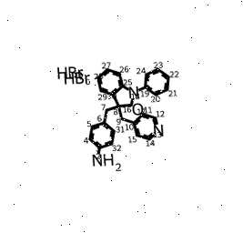 Br.Br.Nc1ccc(CC2(Cc3ccncc3)C(=O)N(c3ccccc3)c3ccccc32)cc1